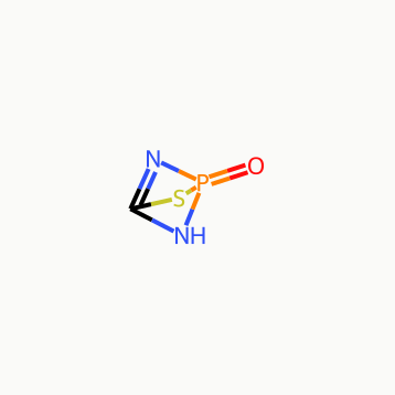 O=P12N=C(N1)S2